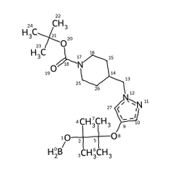 BOC(C)(C)C(C)(C)Oc1cnn(CC2CCN(C(=O)OC(C)(C)C)CC2)c1